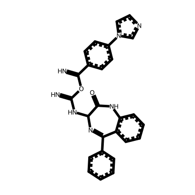 N=C(NC1N=C(c2ccccc2)c2ccccc2NC1=O)OC(=N)c1ccc(-n2ccnc2)cc1